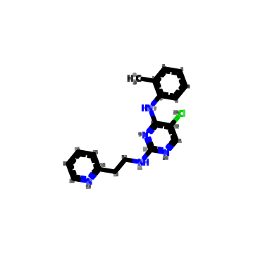 Cc1ccccc1Nc1nc(NCCc2ccccn2)ncc1Cl